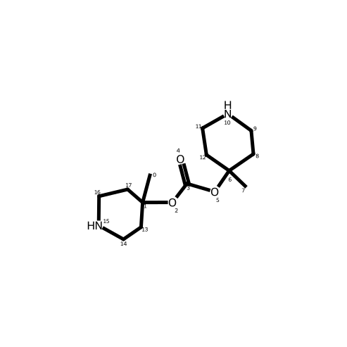 CC1(OC(=O)OC2(C)CCNCC2)CCNCC1